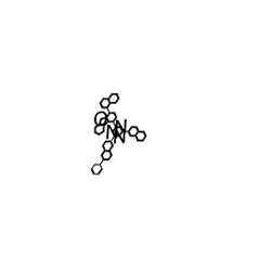 C1=CCC(c2ccc3cc(-c4nc(-c5ccc6ccccc6c5)nc(-c5ccc(-c6cccc7ccccc67)c6oc7ccccc7c56)n4)ccc3c2)C=C1